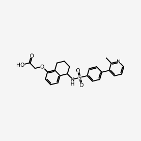 Cc1ncccc1-c1ccc(S(=O)(=O)NC2CCCc3c(OCC(=O)O)cccc32)cc1